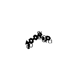 COC(=O)C1(c2ccc(-c3ccc(-c4sncc4NC(=O)O[C@H](C)c4ccccc4Cl)cc3)cc2)CC1